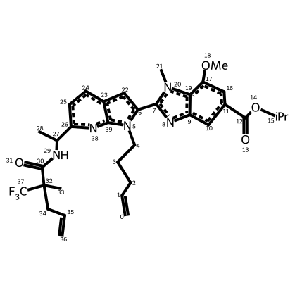 C=CCCCn1c(-c2nc3cc(C(=O)OC(C)C)cc(OC)c3n2C)cc2ccc(C(C)NC(=O)C(C)(CC=C)C(F)(F)F)nc21